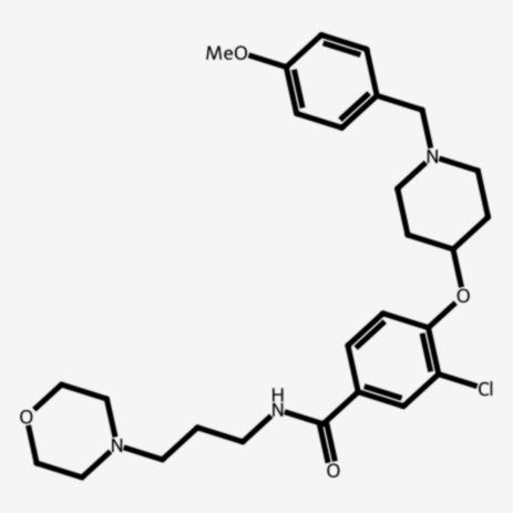 COc1ccc(CN2CCC(Oc3ccc(C(=O)NCCCN4CCOCC4)cc3Cl)CC2)cc1